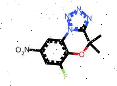 CC1(C)Oc2c(F)cc([N+](=O)[O-])cc2-n2nnnc21